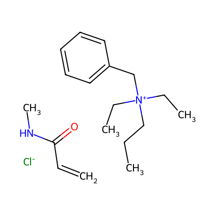 C=CC(=O)NC.CCC[N+](CC)(CC)Cc1ccccc1.[Cl-]